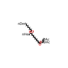 CCCCCCCCCCCCCCCC=CC(=O)OC(CCCCCC)CCCCCCCCCCC(=O)OCC(COC(C)=O)OC(C)=O